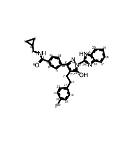 O=C(NCC1CC1)c1ccc(-c2nn(-c3nc4ccccc4[nH]3)c(O)c2CCc2ccc(F)cc2)cc1